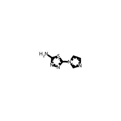 Nc1nnc(-n2ccnc2)s1